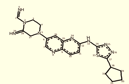 N=CN1CCN(c2cnc3ccc(Nc4nnc(C5CCCC5)s4)nc3c2)CC1=N